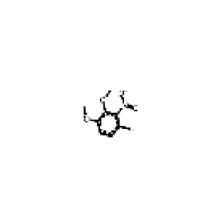 [CH2]c1ccc(OC)c(OC)c1[N+](=O)[O-]